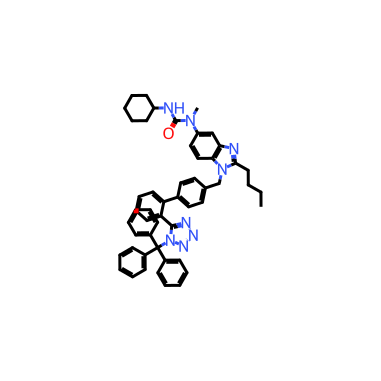 CCCCc1nc2cc(N(C)C(=O)NC3CCCCC3)ccc2n1Cc1ccc(-c2ccccc2-c2nnnn2C(c2ccccc2)(c2ccccc2)c2ccccc2)cc1